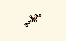 c1ccc(N(c2ccc(-c3ccc(-c4cccc5ccccc45)cc3)cc2)c2cccc3c2sc2ccccc23)c(-c2ccc3oc4cc5ccccc5cc4c3c2)c1